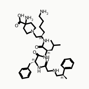 CC(C)C[C@@H](NC(=O)[C@@H](Cc1ccccc1)NC(=O)CNC[C@H](C)c1ccccc1)C(=O)N[C@H](CCCCN)CN1CCC(N)(C(=O)O)CC1